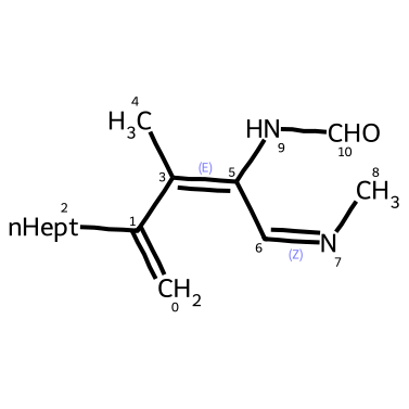 C=C(CCCCCCC)/C(C)=C(\C=N/C)NC=O